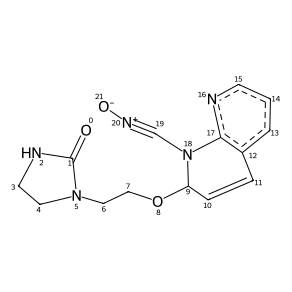 O=C1NCCN1CCOC1C=Cc2cccnc2N1C#[N+][O-]